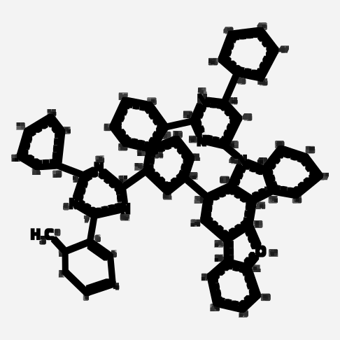 CC1CC=CC=C1c1nc(-c2ccccc2)nc(-c2cccc(-c3cc4c5ccccc5oc4c4c5ccccc5n(-c5cc(-c6ccccc6)nc(-c6ccccc6)n5)c34)c2)n1